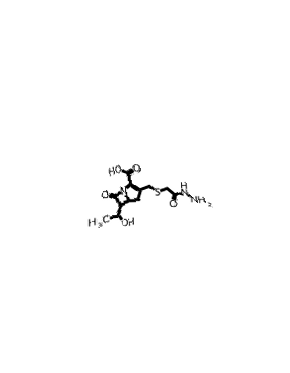 CC(O)C1C(=O)N2C(C(=O)O)=C(CSCC(=O)NN)CC12